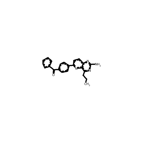 CCCc1nc(N)nc2ccc(-c3ccc(C(=O)c4ccccc4)cc3)nc12